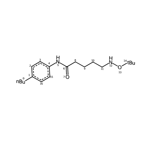 CCCCc1ccc(NC(=O)CCCCNOC(C)(C)C)cc1